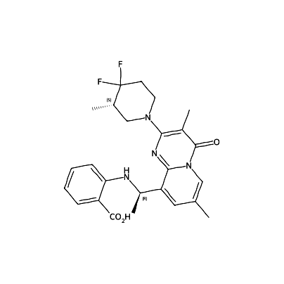 Cc1cc([C@@H](C)Nc2ccccc2C(=O)O)c2nc(N3CCC(F)(F)[C@@H](C)C3)c(C)c(=O)n2c1